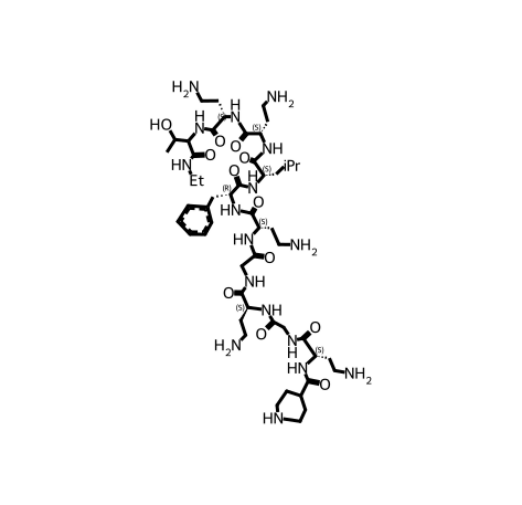 CCNC(=O)C(NC(=O)[C@H](CCN)NC(=O)[C@H](CCN)NC(=O)[C@H](CC(C)C)NC(=O)[C@@H](Cc1ccccc1)NC(=O)[C@H](CCN)NC(=O)CNC(=O)[C@H](CCN)NC(=O)CNC(=O)[C@H](CCN)NC(=O)C1CCNCC1)C(C)O